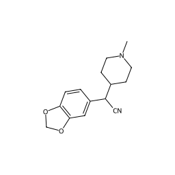 CN1CCC(C(C#N)c2ccc3c(c2)OCO3)CC1